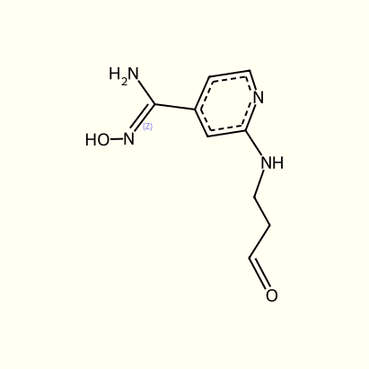 N/C(=N\O)c1ccnc(NCCC=O)c1